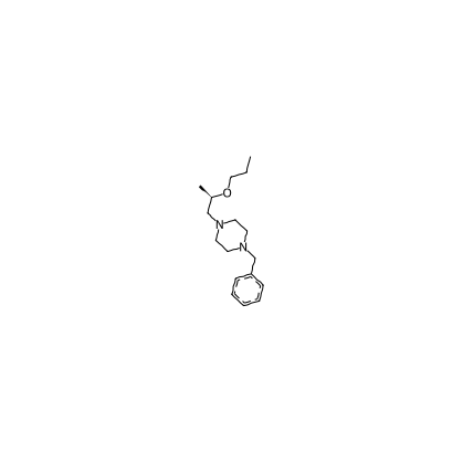 CCCO[C@H](C)CN1CCN(Cc2ccccc2)CC1